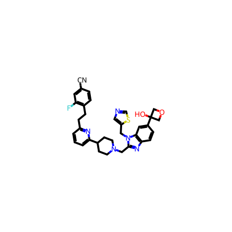 N#Cc1ccc(CCc2cccc(C3CCN(Cc4nc5ccc(C6(O)COC6)cc5n4Cc4cncs4)CC3)n2)c(F)c1